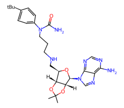 CC1(C)O[C@@H]2[C@H](O1)[C@@H](CNCCCN(C(N)=O)c1ccc(C(C)(C)C)cc1)O[C@H]2n1cnc2c(N)ncnc21